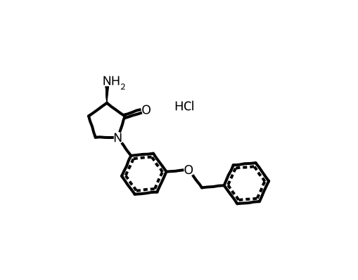 Cl.N[C@@H]1CCN(c2cccc(OCc3ccccc3)c2)C1=O